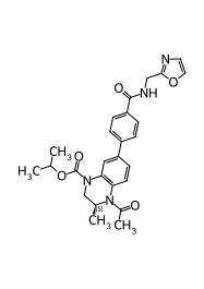 CC(=O)N1c2ccc(-c3ccc(C(=O)NCc4ncco4)cc3)cc2N(C(=O)OC(C)C)C[C@@H]1C